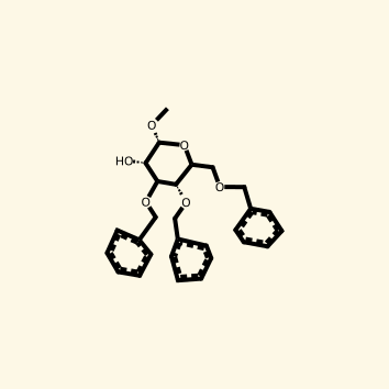 CO[C@@H]1OC(COCc2ccccc2)[C@H](OCc2ccccc2)C(OCc2ccccc2)[C@@H]1O